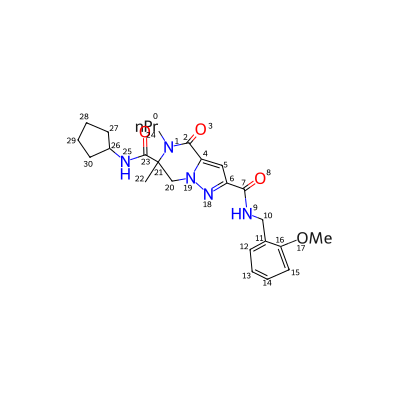 CCCN1C(=O)c2cc(C(=O)NCc3ccccc3OC)nn2CC1(C)C(=O)NC1CCCC1